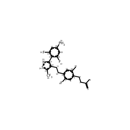 C=C(C)CCc1cc(F)c(CCc2c(-c3c(F)cc(P)cc3F)nsc2C(F)(F)F)cc1C